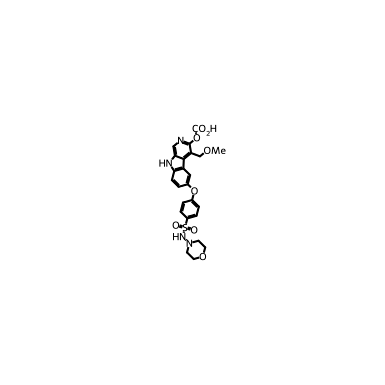 COCc1c(OC(=O)O)ncc2[nH]c3ccc(Oc4ccc(S(=O)(=O)NN5CCOCC5)cc4)cc3c12